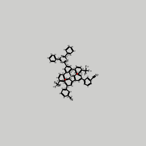 N#Cc1cccc(-c2ccc3c(c2)c2cc(-c4cccc(C#N)c4)ccc2n3-c2c(-c3ccc(C(F)(F)F)cc3)cc(-c3nc(-c4ccccc4)nc(-c4ccccc4)n3)cc2-c2ccc(C(F)(F)F)cc2)c1